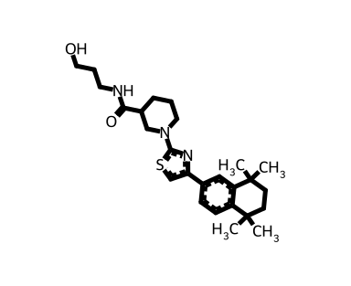 CC1(C)CCC(C)(C)c2cc(-c3csc(N4CCCC(C(=O)NCCCO)C4)n3)ccc21